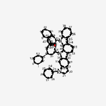 c1ccc(-c2cc(-c3ccccc3)nc(-n3c4cc5c(ccn5-c5ccccc5)cc4c4ccc5c6ccccc6n(-c6ccccc6)c5c43)c2)cc1